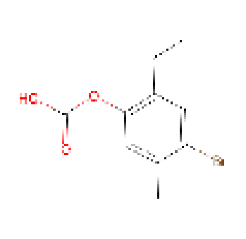 CCc1cc(Br)c(C)cc1OC(=O)O